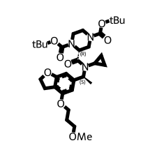 COCCCOc1cc([C@H](C)N(C(=O)[C@H]2CN(C(=O)OC(C)(C)C)CCN2C(=O)OC(C)(C)C)C2CC2)cc2c1CCO2